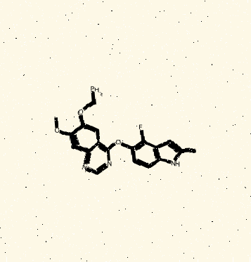 COc1cc2ncnc(Oc3ccc4[nH]c(C)cc4c3F)c2cc1OCP